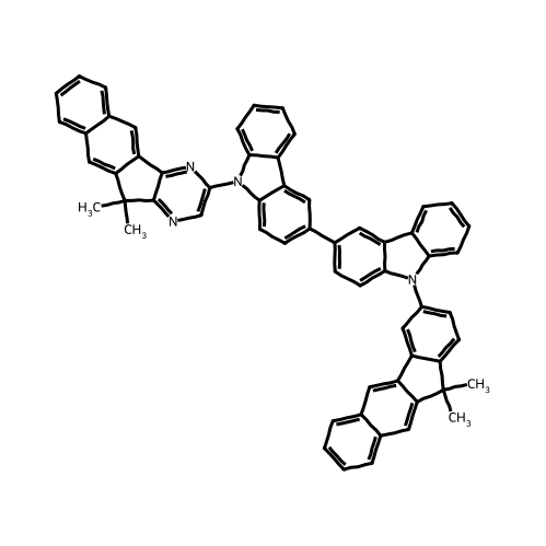 CC1(C)c2ccc(-n3c4ccccc4c4cc(-c5ccc6c(c5)c5ccccc5n6-c5cnc6c(n5)-c5cc7ccccc7cc5C6(C)C)ccc43)cc2-c2cc3ccccc3cc21